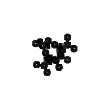 Cn1c2c(-c3ccc(-c4nc(-c5cc(-c6ccccc6)cc(-c6ccccc6)c5)nc(-c5cc(-c6ccccc6)cc(-c6ccccc6)c5)n4)cc3)cccc2c2c3oc4ccccc4c3cc(-c3ccc(-c4nc(-c5cc(-c6ccccc6)cc(-c6ccccc6)c5)nc(-c5cc(-c6ccccc6)cc(-c6ccccc6)c5)n4)cc3)c21